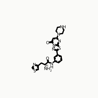 N[C@H](Cc1cscn1)C(=O)Nc1cccc(-c2nn3c(=O)cc(N4CCNCC4)nc3s2)c1